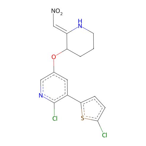 O=[N+]([O-])C=C1NCCCC1Oc1cnc(Cl)c(-c2ccc(Cl)s2)c1